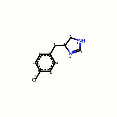 Clc1ccc(CC2CNC=N2)cc1